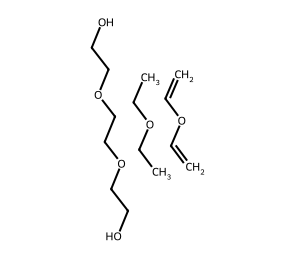 C=COC=C.CCOCC.OCCOCCOCCO